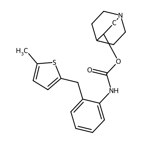 Cc1ccc(Cc2ccccc2NC(=O)OC2CN3CCC2CC3)s1